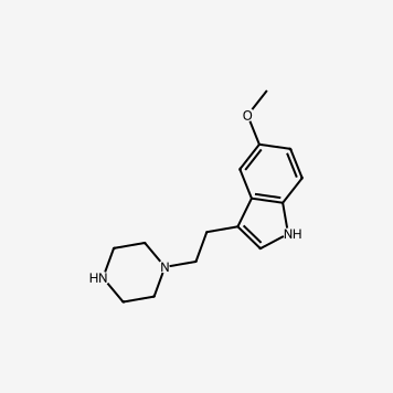 COc1ccc2[nH]cc(CCN3CCNCC3)c2c1